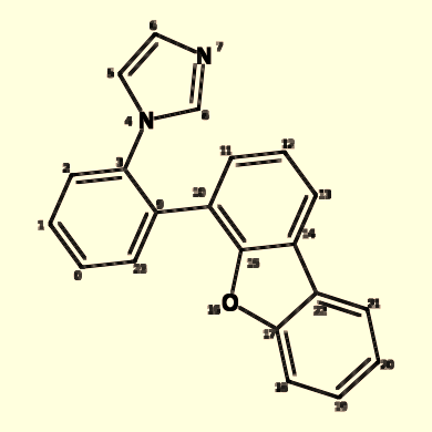 c1ccc(-n2ccnc2)c(-c2cccc3c2oc2ccccc23)c1